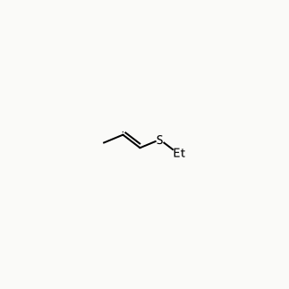 [CH2]CS/C=[C]/C